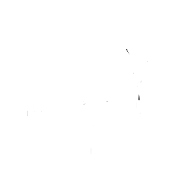 Sc1cc(S)cc(SCC2C[C@@H]3C=C[C@H]2C3)c1